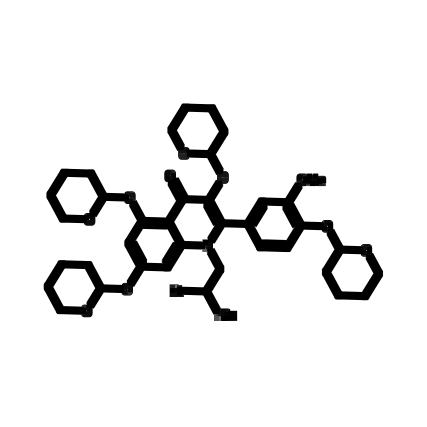 CCCCC(CC)Cn1c(-c2ccc(OC3CCCCO3)c(OC)c2)c(OC2CCCCO2)c(=O)c2c(OC3CCCCO3)cc(OC3CCCCO3)cc21